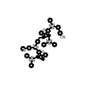 N#Cc1ccc(-c2cccc(-c3nc(-c4ccccc4)nc(-c4ccc5c(c4)Oc4ccccc4C54c5cc(Cc6ccc(-c7nc(-c8ccc(-c9ccccn9)cc8)cc(-c8ccc9c(c8)Oc8ccccc8C98c9ccccc9-c9cc(-c%10nc(-c%11ccccc%11)nc(-c%11ccccc%11)n%10)ccc98)n7)cc6)ccc5-c5c(-c6nc(-c7ccccc7)nc(-c7ccccc7)n6)cccc54)n3)c2)cc1